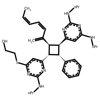 C=C(/C=C\C=C/C)[C@H]1[C@@H](c2cc(NCCC)nc(NCCC)n2)[C@H](c2ccccc2)[C@@H]1c1cc(SCCO)nc(NCCC)n1